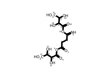 N=C(CCC(=O)OC(=O)C(O)C(O)C(=O)O)OC(=O)C(O)C(O)C(=O)O